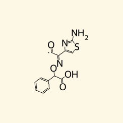 Nc1nc(C([C]=O)=NOC(C(=O)O)c2ccccc2)cs1